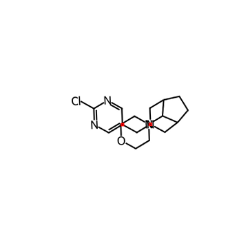 Clc1ncc(CN2CC3CCC(C2)C3N2CCOCC2)cn1